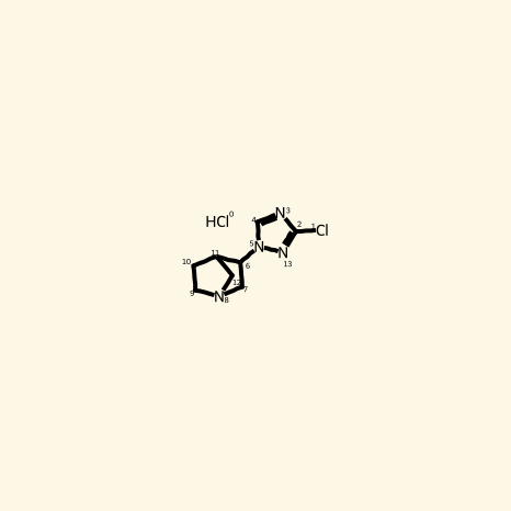 Cl.Clc1ncn(C2CN3CCC2C3)n1